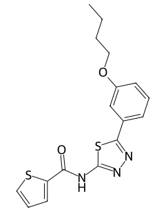 CCCCOc1cccc(-c2nnc(NC(=O)c3cccs3)s2)c1